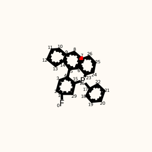 Fc1ccc(-c2cccc3ccccc23)c(P(c2ccccc2)c2ccccc2)c1